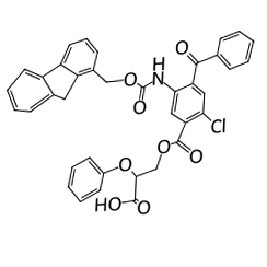 O=C(Nc1cc(C(=O)OCC(Oc2ccccc2)C(=O)O)c(Cl)cc1C(=O)c1ccccc1)OCc1cccc2c1Cc1ccccc1-2